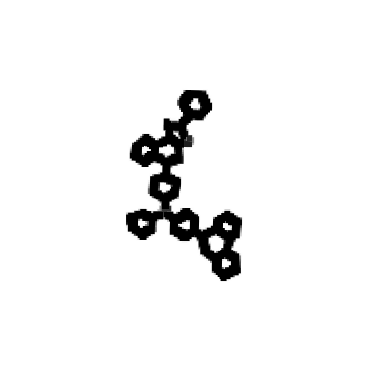 c1ccc(-c2nc3c(cc(-c4ccc(N(c5ccccc5)c5ccc(-c6cc7ccccc7c7ccccc67)cc5)cc4)c4ccccc43)o2)cc1